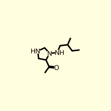 CCC(C)CNN1CNCC1C(C)=O